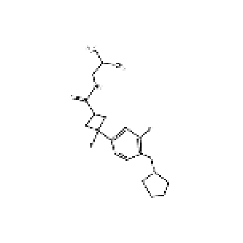 CC(C)CNC(=O)C1CC(F)(c2ccc(CN3CCCC3)c(F)c2)C1